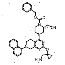 N#CC[C@H]1CN(c2nc(OC3(CN)CC3)nc3c2CCN(c2cccc4ccccc24)C3)CCN1C(=O)OCc1ccccc1